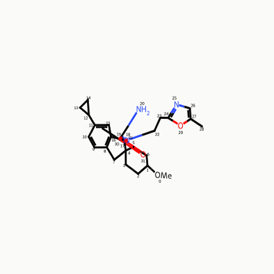 COC1CCC2(CC1)Cc1ccc(C3CC3)cc1C21N=C(N)N(CCc2ncc(C)o2)C1=O